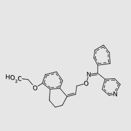 O=C(O)COc1cccc2c1CCC/C2=C/CO/N=C(/c1ccccc1)c1ccncc1